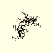 CC(C)OC(=O)[C@H](C)N[PH](O)(N[C@@H](C)C(=O)OC(C)C)OC[C@H]1O[C@@](C#N)(c2ccc3c(N)ncnn23)[C@](C)(O)[C@@H]1OC(=O)C(C)C